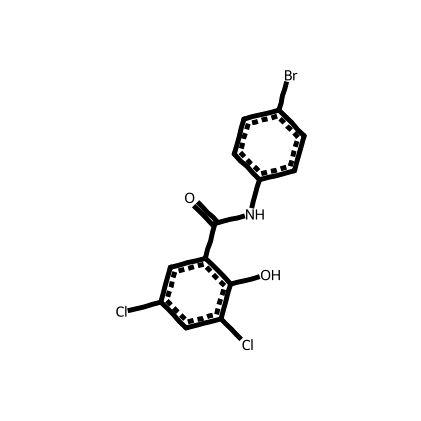 O=C(Nc1ccc(Br)cc1)c1cc(Cl)cc(Cl)c1O